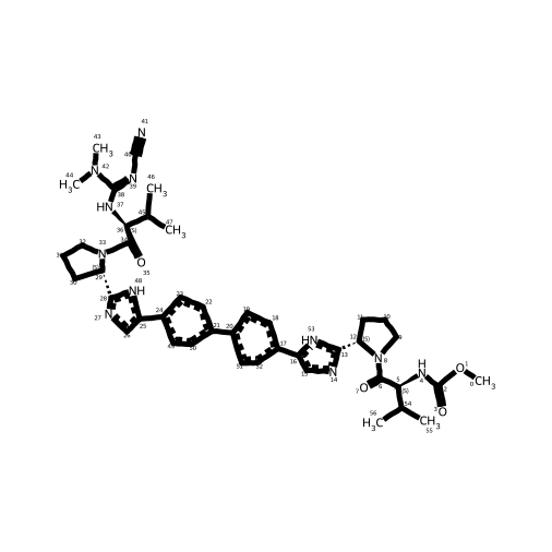 COC(=O)N[C@H](C(=O)N1CCC[C@H]1c1ncc(-c2ccc(-c3ccc(-c4cnc([C@@H]5CCCN5C(=O)[C@@H](NC(=NC#N)N(C)C)C(C)C)[nH]4)cc3)cc2)[nH]1)C(C)C